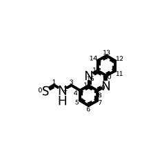 S=CNCc1cccc2nc3ccccc3nc12